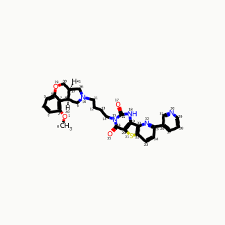 COc1cccc2c1[C@@H]1CN(CCCCn3c(=O)[nH]c4c(sc5ccc(-c6cccnc6)nc54)c3=O)C[C@@H]1CO2